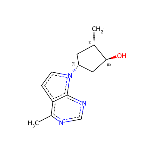 [CH2][C@H]1C[C@@H](n2ccc3c(C)ncnc32)C[C@@H]1O